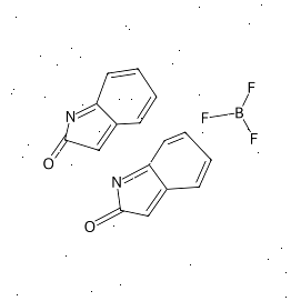 FB(F)F.O=C1C=c2ccccc2=N1.O=C1C=c2ccccc2=N1